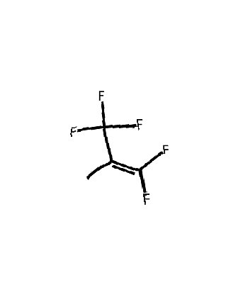 CC(=C(F)F)C(F)(F)F